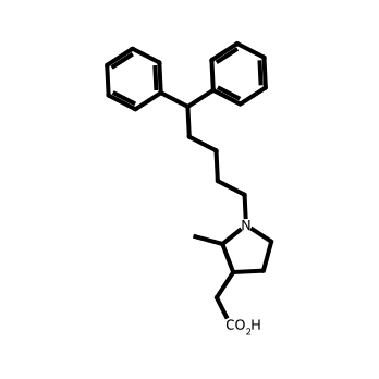 CC1C(CC(=O)O)CCN1CCCCC(c1ccccc1)c1ccccc1